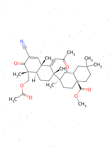 COC(=O)[C@]12CCC(C)(C)CC1C[C@](C)([C@]1(C)CC[C@H]3[C@](C)(COC(C)=O)C(=O)C(C#N)=C[C@]3(C)/C1=C/C(C)=O)CC2